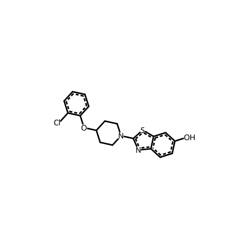 Oc1ccc2nc(N3CCC(Oc4ccccc4Cl)CC3)sc2c1